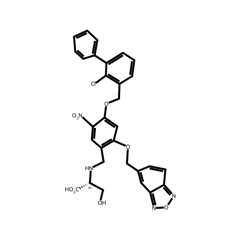 O=C(O)[C@@H](CO)NCc1cc([N+](=O)[O-])c(OCc2cccc(-c3ccccc3)c2Cl)cc1OCc1ccc2nonc2c1